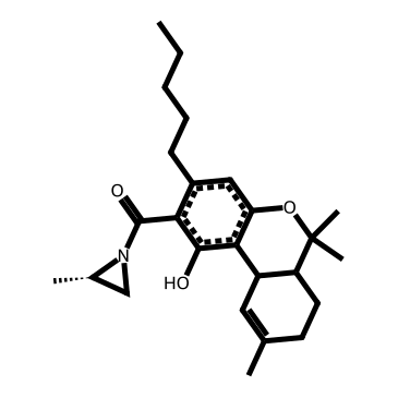 CCCCCc1cc2c(c(O)c1C(=O)N1C[C@@H]1C)C1C=C(C)CCC1C(C)(C)O2